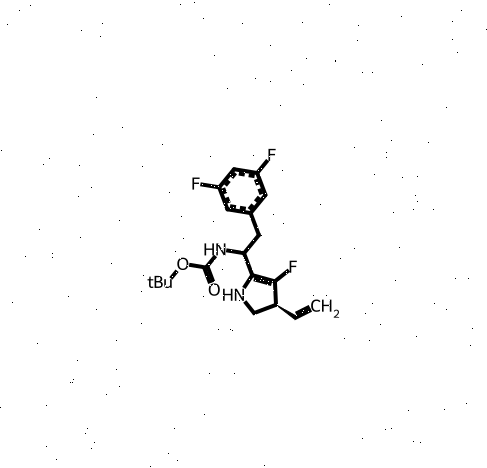 C=C[C@H]1CNC(C(Cc2cc(F)cc(F)c2)NC(=O)OC(C)(C)C)=C1F